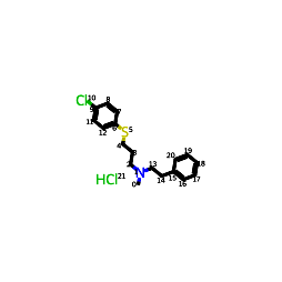 CN(CCCSc1ccc(Cl)cc1)CCc1ccccc1.Cl